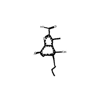 CCCc1cc(F)c2oc(C(=O)O)c(C)c2c1O